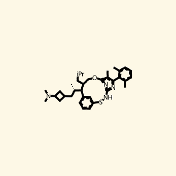 Cc1cccc(C)c1-c1nc2nc(c1C)OCC(CC(C)C)C([C@@H](C)CC1CC(N(C)C)C1)c1cccc(c1)SN2